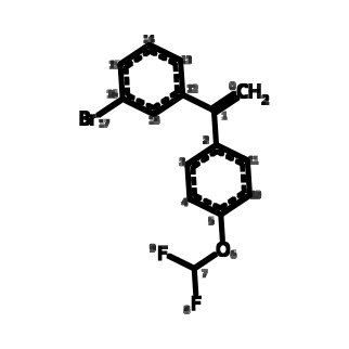 C=C(c1ccc(OC(F)F)cc1)c1cccc(Br)c1